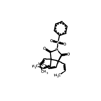 C/C=C\C1(/C=C\C)C(=O)N(S(=O)(=O)c2ccccc2)C(=O)C1(/C=C\C)/C=C\C